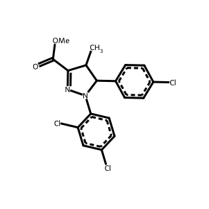 COC(=O)C1=NN(c2ccc(Cl)cc2Cl)C(c2ccc(Cl)cc2)C1C